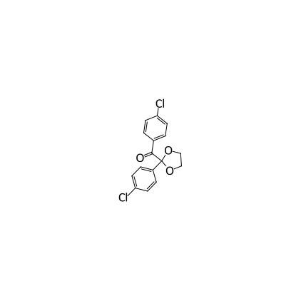 O=C(c1ccc(Cl)cc1)C1(c2ccc(Cl)cc2)OCCO1